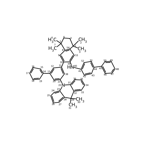 CC1(C)CCC(C)(C)c2cc(-c3cc(-c4ccccc4)cc(N4c5ccccc5C(C)(C)c5ccccc54)c3)c(Nc3ccc(-c4ccccc4)cc3)cc21